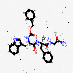 C[C@](Cc1ccccc1)(NC(=O)[C@H](Cc1c[nH]c2ccccc12)NC(=O)OCc1ccccc1)C(=O)NCC(N)=O